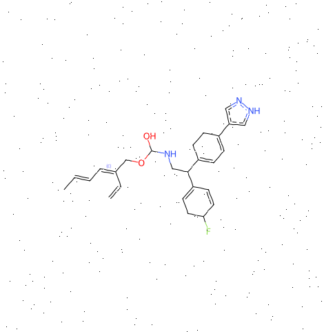 C=C/C(=C\C=CC)COC(O)NCC(C1=CCC(F)C=C1)C1=CC=C(c2cn[nH]c2)CC1